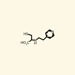 O=C(O)C(CS)NCCc1ccncc1